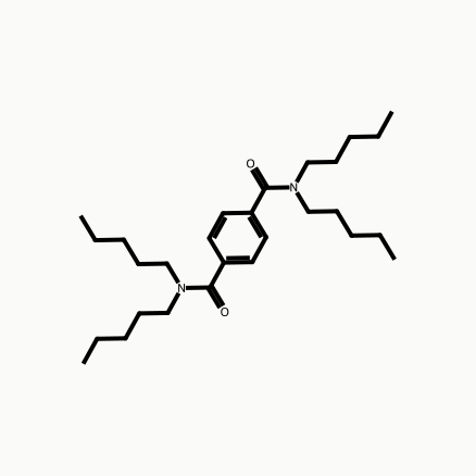 CCCCCN(CCCCC)C(=O)c1ccc(C(=O)N(CCCCC)CCCCC)cc1